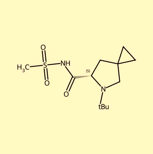 CC(C)(C)N1CC2(CC2)C[C@H]1C(=O)NS(C)(=O)=O